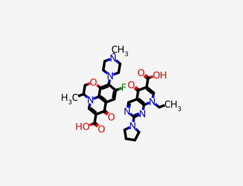 CC1COc2c(N3CCN(C)CC3)c(F)cc3c(=O)c(C(=O)O)cn1c23.CCn1cc(C(=O)O)c(=O)c2cnc(N3CCCC3)nc21